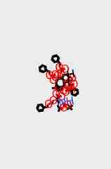 CC(=O)O[C@@]12CO[C@@H]1C[C@H](OC(=O)OCc1ccccc1)[C@@]1(C)C(=O)[C@H](OC(=O)OCc3ccccc3)C3=C(C)[C@@H](OC(=O)[C@H](OCOCc4ccccc4)[C@H](CC(C)C)NC(=O)OC(C)(C)C)C[C@@](O)([C@@H](OC(=O)c4ccccc4)[C@H]21)C3(C)C